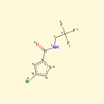 O=C(NCC(F)(F)F)c1cc(Br)cs1